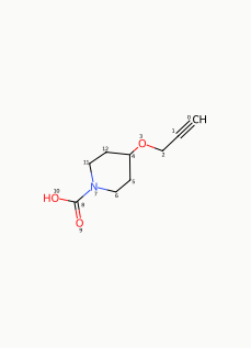 C#CCOC1CCN(C(=O)O)CC1